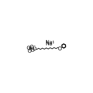 O=P([O-])([O-])OOCCCCCCCCCCCCOc1ccccc1.[Na+].[Na+]